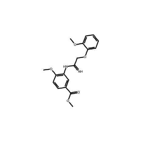 COC(=O)c1ccc(OC)c(NC(=N)COc2ccccc2OC)c1